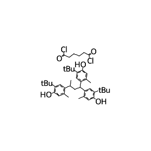 Cc1cc(O)c(C(C)(C)C)cc1C(C)CC(c1cc(C(C)(C)C)c(O)cc1C)c1cc(C(C)(C)C)c(O)cc1C.O=C(Cl)CCCCC(=O)Cl